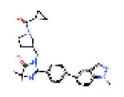 Cn1ncc2cc(-c3ccc(C4=NC(C)(C)C(=O)N4CC4CCN(C(=O)C5CC5)C4)cc3)ccc21